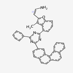 Cc1c(/C=C\N)oc2cccc(-c3nc(-c4ccccc4)nc(-c4ccc5ccc6ccc7ccccc7c6c5c4)n3)c12